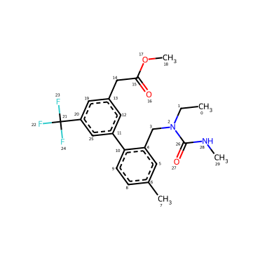 CCN(Cc1cc(C)ccc1-c1cc(CC(=O)OC)cc(C(F)(F)F)c1)C(=O)NC